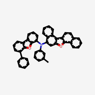 Cc1cccc(N(c2cc3oc4c5ccccc5ccc4c3c3ccccc23)c2cccc3c2oc2c(-c4ccccc4)cccc23)c1